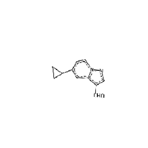 O=Cc1cnn2ccc(C3CC3)cc12